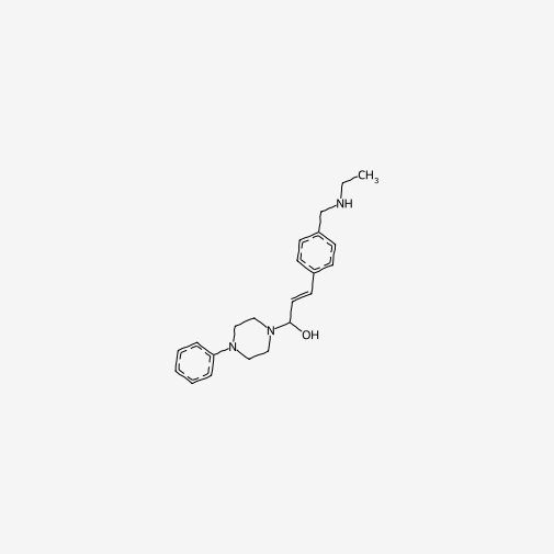 CCNCc1ccc(/C=C/C(O)N2CCN(c3ccccc3)CC2)cc1